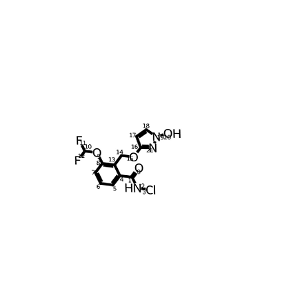 O=C(NCl)c1cccc(OC(F)F)c1COc1ccn(O)n1